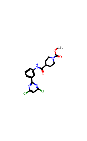 CC(C)(C)OC(=O)N1CCC(C(=O)Nc2cccc(-c3nc(Cl)cc(Cl)n3)c2)CC1